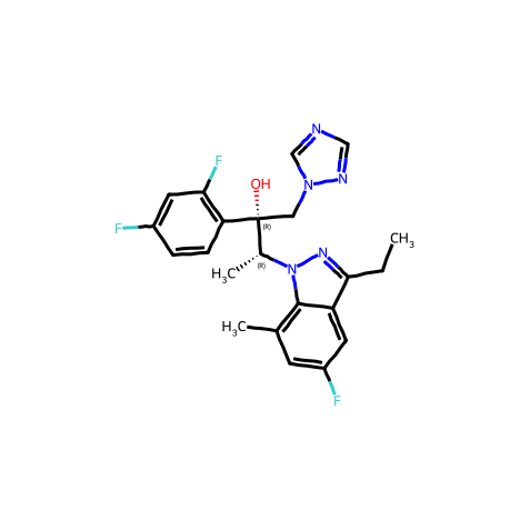 CCc1nn([C@H](C)[C@](O)(Cn2cncn2)c2ccc(F)cc2F)c2c(C)cc(F)cc12